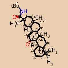 CC(C)(C)NC(=O)C1(C)CC[C@]2(C)CC[C@]3(C)C(=CC(=O)[C@@H]4[C@@]5(C)CCCC(C)(C)C5CC[C@]43C)[C@H]2C1